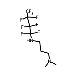 CN(C)CCCNC(F)(F)C(F)(F)C(F)(F)C(F)(F)F